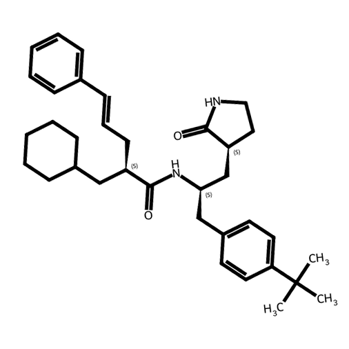 CC(C)(C)c1ccc(C[C@H](C[C@@H]2CCNC2=O)NC(=O)[C@H](CC=Cc2ccccc2)CC2CCCCC2)cc1